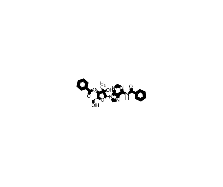 CC1(O)C(OC(=O)c2ccccc2)[C@@H](CO)O[C@H]1n1cnc2c(NC(=O)c3ccccc3)ncnc21